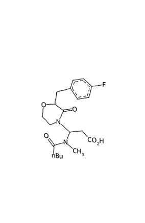 CCCCC(=O)N(C)C(CC(=O)O)N1CCOC(Cc2ccc(F)cc2)C1=O